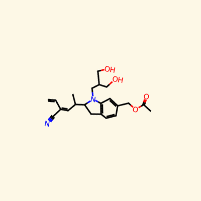 C=C/C(C#N)=C\C(C)C1Cc2ccc(COC(C)=O)cc2N1CC(CO)CO